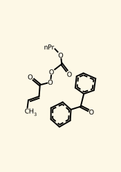 CC=CC(=O)OOC(=O)OCCC.O=C(c1ccccc1)c1ccccc1